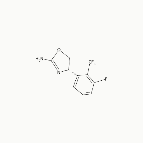 NC1=N[C@@H](c2cccc(F)c2C(F)(F)F)CO1